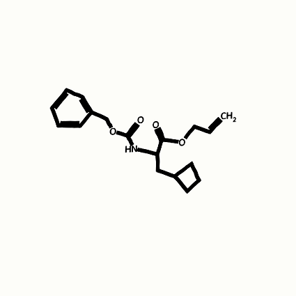 C=CCOC(=O)C(CC1CCC1)NC(=O)OCc1ccccc1